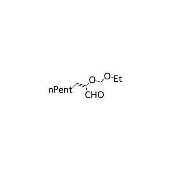 CCCCC/C=C(\C=O)OCOCC